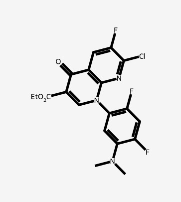 CCOC(=O)c1cn(-c2cc(N(C)C)c(F)cc2F)c2nc(Cl)c(F)cc2c1=O